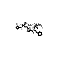 COC(=O)[C@@H](C)C[C@H](Cc1ccccc1)NC(=O)c1csc([C@@H](CC(C(C)C)N(C)C(=O)C2CCC2)OC(C)=O)n1